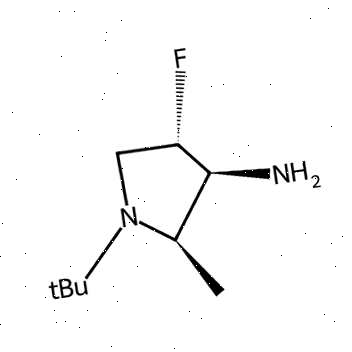 C[C@@H]1[C@H](N)[C@@H](F)CN1C(C)(C)C